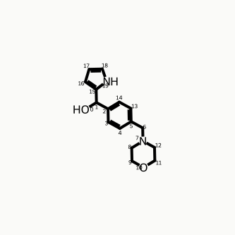 OC(c1ccc(CN2CCOCC2)cc1)c1ccc[nH]1